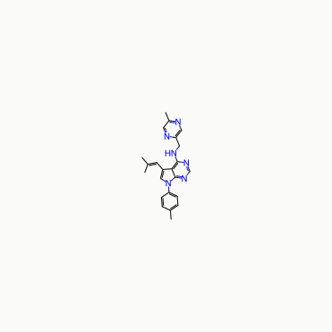 CC(C)=Cc1cn(-c2ccc(C)cc2)c2ncnc(NCc3cnc(C)cn3)c12